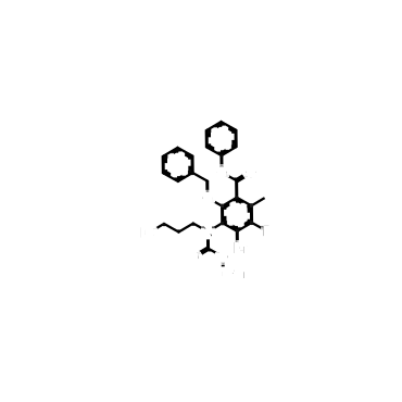 Cc1c(F)c(Br)c(N(CCCO)C(=O)OC(C)(C)C)c(OCc2ccccc2)c1C(=O)Oc1ccccc1